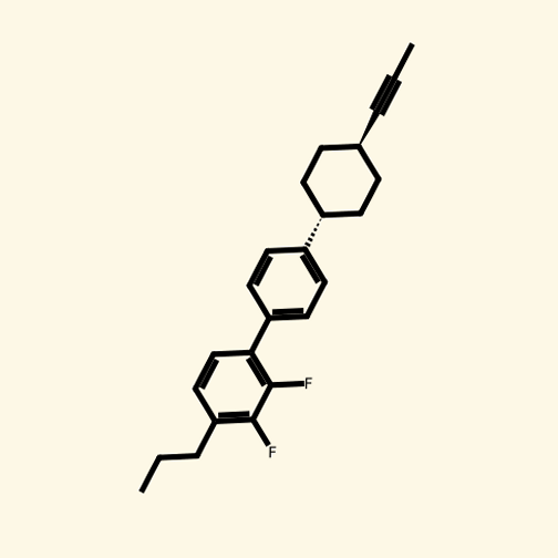 CC#C[C@H]1CC[C@H](c2ccc(-c3ccc(CCC)c(F)c3F)cc2)CC1